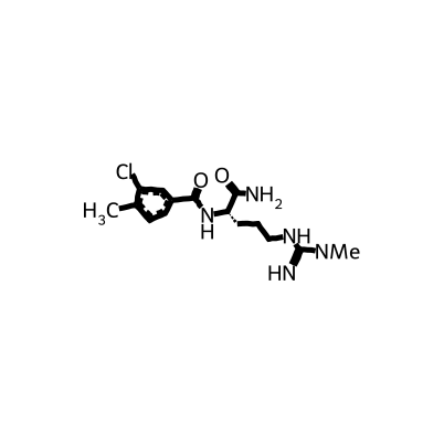 CNC(=N)NCCC[C@H](NC(=O)c1ccc(C)c(Cl)c1)C(N)=O